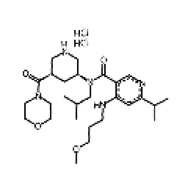 COCCCNc1cc(C(C)C)ncc1C(=O)N(CC(C)C)[C@@H]1CNC[C@H](C(=O)N2CCOCC2)C1.Cl.Cl